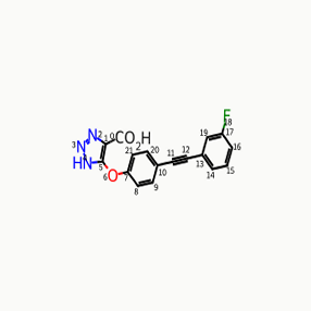 O=C(O)c1nn[nH]c1Oc1ccc(C#Cc2cccc(F)c2)cc1